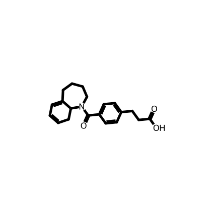 O=C(O)CCc1ccc(C(=O)N2CCCCC3=CC=CCC32)cc1